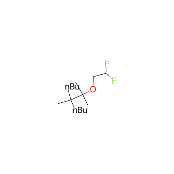 CCCCC(C)(CCCC)C(C)(C)OCC(F)F